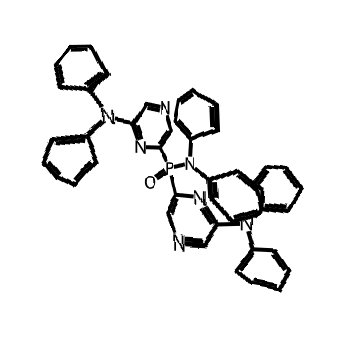 O=P(c1cncc(N(c2ccccc2)c2ccccc2)n1)(c1cncc(N(c2ccccc2)c2ccccc2)n1)N(c1ccccc1)c1ccccc1